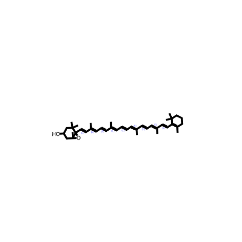 CC1=C(/C=C/C(C)=C/C=C/C(C)=C/C=C/C=C(C)/C=C/C=C(C)/C=C/C23OC2(C)CC(O)CC3(C)C)C(C)(C)CCC1